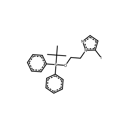 CC(C)(C)[Si](OCCn1nccc1I)(c1ccccc1)c1ccccc1